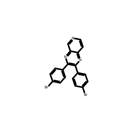 Brc1ccc(-c2nc3ccncc3nc2-c2ccc(Br)cc2)cc1